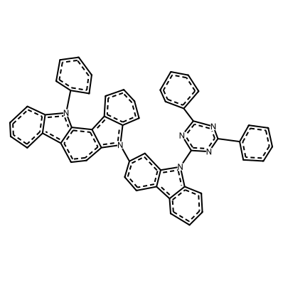 c1ccc(-c2nc(-c3ccccc3)nc(-n3c4ccccc4c4ccc(-n5c6ccccc6c6c5ccc5c7ccccc7n(-c7ccccc7)c56)cc43)n2)cc1